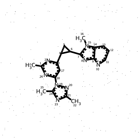 Cc1nc(C2CC2c2nc3ncccc3n2C)cc(-n2nc(C)nc2C)n1